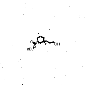 CCCCOC(=O)N1CCCC(F)(CCCO)C1